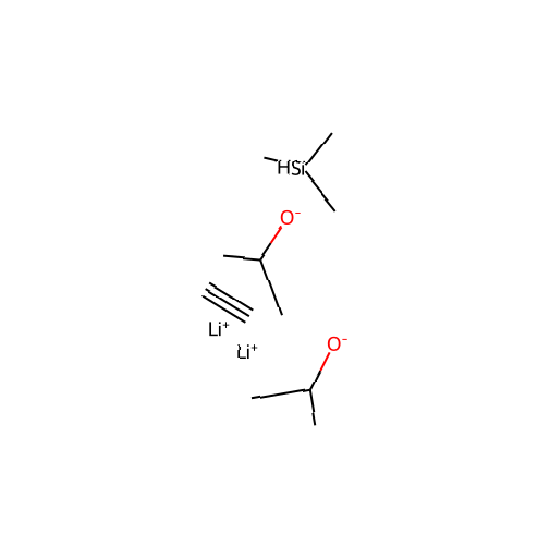 C#C.CC(C)[O-].CC(C)[O-].C[SiH](C)C.[Li+].[Li+]